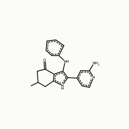 CC1CC(=O)c2c([nH]c(-c3ccnc(N)c3)c2Nc2ccccc2)C1